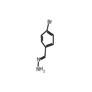 NN=Cc1ccc(Br)cc1